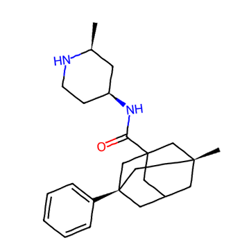 C[C@H]1C[C@@H](NC(=O)C23CC4C[C@@](C)(C2)C[C@](c2ccccc2)(C4)C3)CCN1